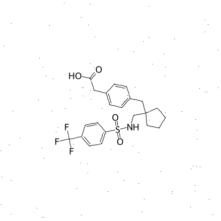 O=C(O)Cc1ccc(CC2(CNS(=O)(=O)c3ccc(C(F)(F)F)cc3)CCCC2)cc1